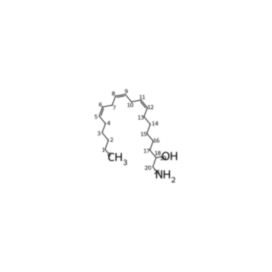 CCCCC/C=C\C/C=C\C/C=C\CCCCCC(O)CN